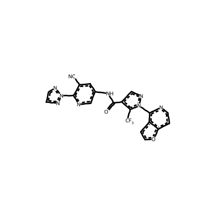 N#Cc1cc(NC(=O)c2cnn(-c3nccc4occc34)c2C(F)(F)F)cnc1-n1nccn1